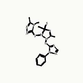 CC1=NC(C)([S])N(Sc2nnc(C)n2C)N1Sc1ncnn1-c1ccccc1